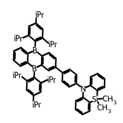 CC(C)c1cc(C(C)C)c(B2c3ccccc3B(c3c(C(C)C)cc(C(C)C)cc3C(C)C)c3cc(-c4ccc(N5c6ccccc6[Si](C)(C)c6ccccc65)cc4)ccc32)c(C(C)C)c1